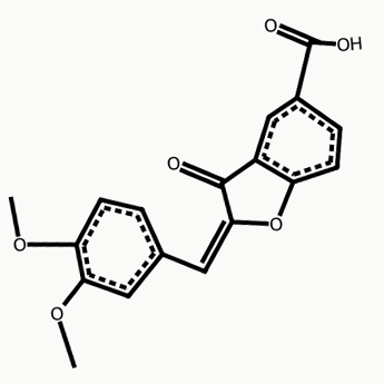 COc1ccc(C=C2Oc3ccc(C(=O)O)cc3C2=O)cc1OC